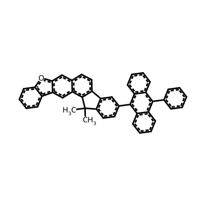 CC1(C)c2ccc(-c3c4ccccc4c(-c4ccccc4)c4ccccc34)cc2-c2ccc3cc4oc5ccccc5c4cc3c21